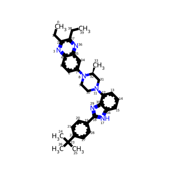 CCc1nc2ccc(N3CCN(c4cccc5[nH]c(-c6ccc(C(C)(C)C)cc6)nc45)C[C@@H]3C)cc2nc1CC